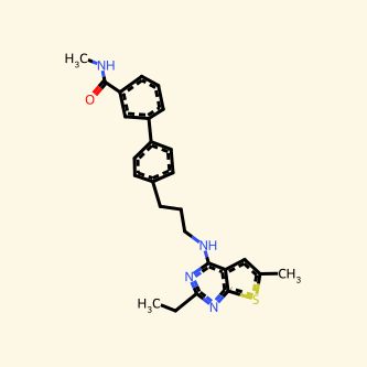 CCc1nc(NCCCc2ccc(-c3cccc(C(=O)NC)c3)cc2)c2cc(C)sc2n1